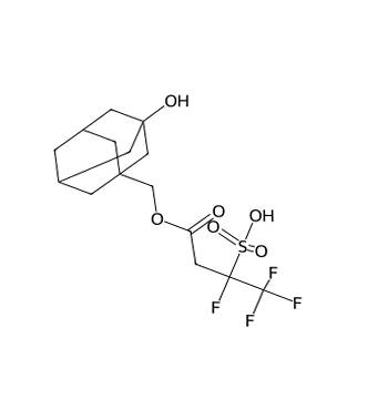 O=C(CC(F)(C(F)(F)F)S(=O)(=O)O)OCC12CC3CC(CC(O)(C3)C1)C2